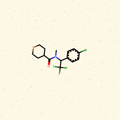 CN(C(=O)C1CCSCC1)C(c1ccc(Br)cc1)C(F)(F)F